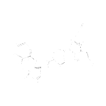 C=CCC1=NC(CC=C)N(N)C(N2CCC(N(C)CC3c4ccccc4CCc4ccccc43)CC2)=N1